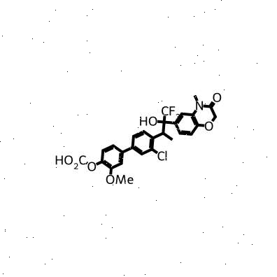 COc1cc(-c2ccc(C(C)C(O)(c3ccc4c(c3)N(C)C(=O)CO4)C(F)(F)F)c(Cl)c2)ccc1OC(=O)O